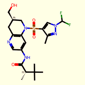 Cc1nn(C(F)F)cc1S(=O)(=O)N1C[C@H](CO)Cc2ncc(NC(=O)[C@@H](C)C(C)(C)C)cc21